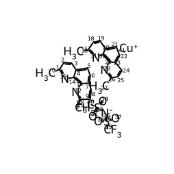 Cc1ccc2ccc3ccc(C)nc3c2n1.Cc1ccc2ccc3ccc(C)nc3c2n1.O=S(=O)([N-]S(=O)(=O)C(F)(F)F)C(F)(F)F.[Cu+]